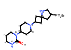 CCOC(=O)C1CNC2(C1)CC(N1CCC(N3CCCNC3=O)CC1)C2